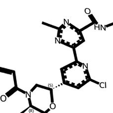 C=CC(=O)N1C[C@H](c2cc(Cl)nc(-c3cc(C(=O)NC)nc(C)n3)c2)OC[C@H]1C